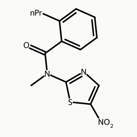 CCCc1ccccc1C(=O)N(C)c1ncc([N+](=O)[O-])s1